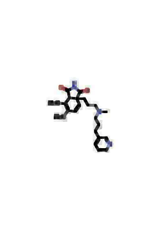 COC1=C(OC)C2C(=O)NC(=O)C2(CCCN(C)CCCc2cccnc2)C=C1